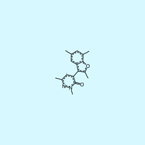 Cc1cc(C)c2oc(C)c(-c3[c]c(C)nn(C)c3=O)c2c1